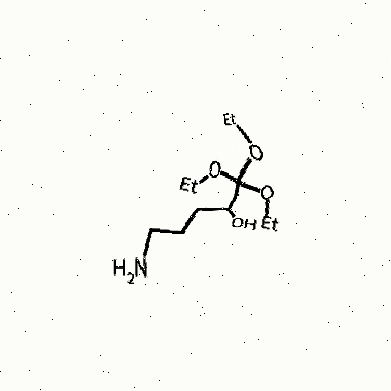 CCOC(OCC)(OCC)C(O)CCCN